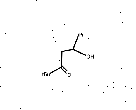 CC(C)C(O)CC(=O)C(C)(C)C